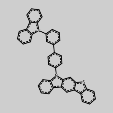 c1cc(-c2ccc(-n3c4ccccc4c4cc5c(cc43)sc3ccccc35)cc2)cc(-n2c3ccccc3c3ccccc32)c1